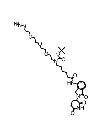 CC(C)(C)OC(=O)N(CCCCCC(=O)Nc1cccc2c1CN(C1CCC(=O)NC1=O)C2=O)CCOCCOCCOCCN=[N+]=[N-]